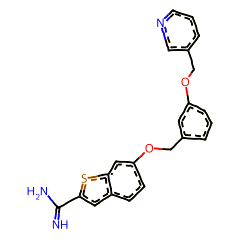 N=C(N)c1cc2ccc(OCc3cccc(OCc4cccnc4)c3)cc2s1